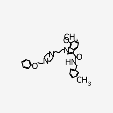 COc1cccc2c(C(=O)NCc3cccc(C)c3)cn(CCCN3CCN(CCOc4ccccc4)CC3)c12